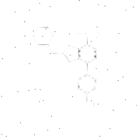 Cc1ccc(-c2ccc(C)c3c2C=C(CC2CCCCC2)[CH]3)cc1.[Zr]